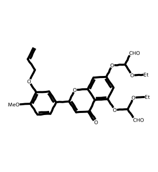 C=CCOc1cc(-c2cc(=O)c3c(OC(C=O)OCC)cc(OC(C=O)OCC)cc3o2)ccc1OC